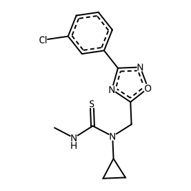 CNC(=S)N(Cc1nc(-c2cccc(Cl)c2)no1)C1CC1